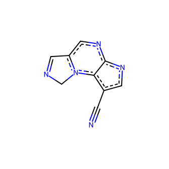 N#Cc1cnc2ncc3n(c1-2)CN=C3